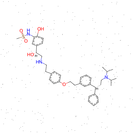 CC(C)N(CC[C@H](c1ccccc1)c1cccc(CCOc2ccc(CCNC[C@H](O)c3ccc(O)c(NS(C)(=O)=O)c3)cc2)c1)C(C)C